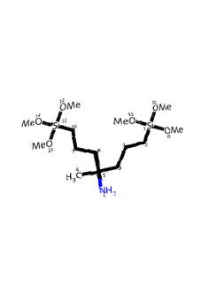 CO[Si](CCCC(C)(N)CCC[Si](OC)(OC)OC)(OC)OC